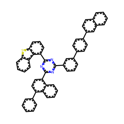 c1ccc(-c2ccc(-c3nc(-c4cccc(-c5ccc(-c6ccc7ccccc7c6)cc5)c4)nc(-c4cccc5sc6ccccc6c45)n3)c3ccccc23)cc1